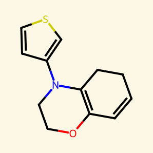 C1=CC2=C(CC1)N(c1ccsc1)CCO2